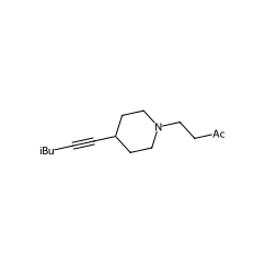 CCC(C)C#CC1CCN(CCC(C)=O)CC1